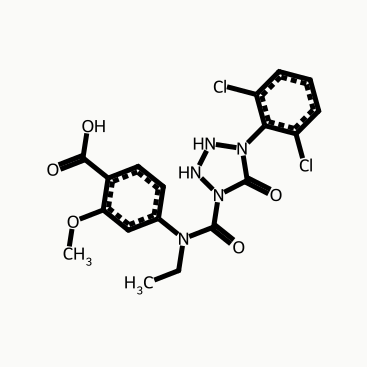 CCN(C(=O)N1NNN(c2c(Cl)cccc2Cl)C1=O)c1ccc(C(=O)O)c(OC)c1